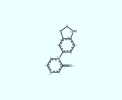 O=c1cnccn1-c1ccc2c(c1)CCN2